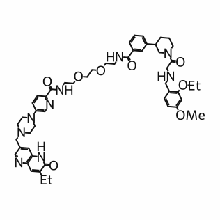 CCOc1cc(OC)ccc1CNCC(=O)N1CCCC(c2cccc(C(=O)NCCOCCOCCNC(=O)c3ccc(N4CCN(Cc5cnc6cc(CC)c(=O)[nH]c6c5)CC4)cn3)c2)C1